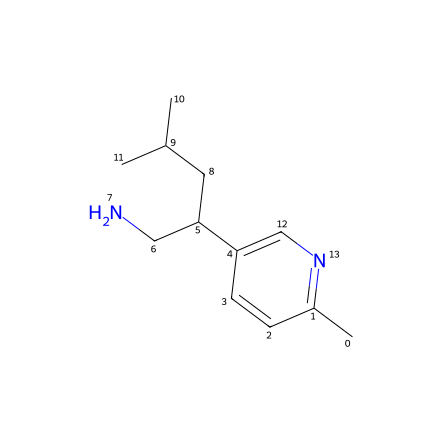 Cc1ccc(C(CN)CC(C)C)cn1